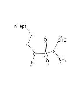 CCCCCCCCCC(CC)S(=O)(=O)C(C)C=O